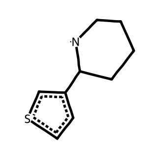 c1cc(C2CCCC[N]2)cs1